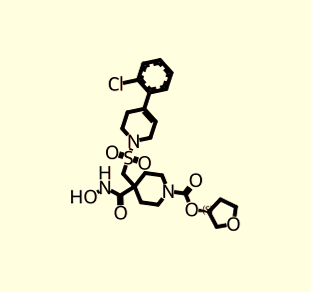 O=C(O[C@H]1CCOC1)N1CCC(CS(=O)(=O)N2CC=C(c3ccccc3Cl)CC2)(C(=O)NO)CC1